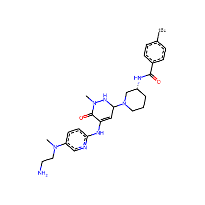 CN1NC(N2CCC[C@@H](NC(=O)c3ccc(C(C)(C)C)cc3)C2)C=C(Nc2ccc(N(C)CCN)cn2)C1=O